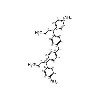 CCCC(c1ccc(N)cc1)c1ccc(Cc2ccc(C(CCC)c3ccc(N)cc3)cc2)cc1